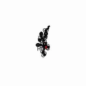 CCCCOC(=O)c1ccc(OC(=O)O[C@@H](C(=O)O[C@H]2CC3[C@@H](OC(=O)c4ccccc4)C[C@@](C)([C@@H](O)C[C@H]4OC[C@@H]4OC(C)=O)C(=O)[C@H](OC(C)=O)C(=C2C)C3(C)C)[C@@H](NC(=O)c2ccccc2)c2ccccc2)cc1